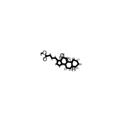 COC(=O)CCCC1CCC2C3CC[C@@H]4CCCC[C@]4(C)C3=CC(=O)[C@]12C